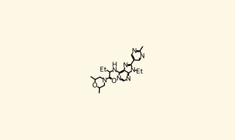 CCC(Nc1ncnc2c1nc(-c1cnc(C)nc1)n2CC)C(=O)N1CC(C)OC(C)C1